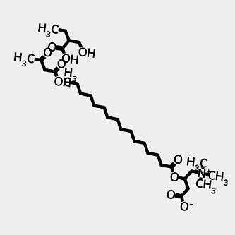 CC(=O)CC(=O)O.CCC(CO)C(=O)O.CCCCCCCCCCCCCCCC(=O)OC(CC(=O)[O-])C[N+](C)(C)C